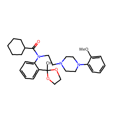 COc1ccccc1N1CCN(CCN(C(=O)C2CCCCC2)c2ccccc2C2(C)OCCO2)CC1